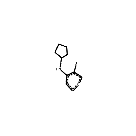 Ic1ccccc1NC1CCCC1